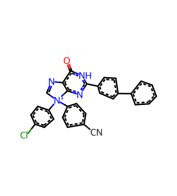 N#Cc1ccc([N+]2(c3ccc(Cl)cc3)C=Nc3c2nc(-c2ccc(-c4ccccc4)cc2)[nH]c3=O)cc1